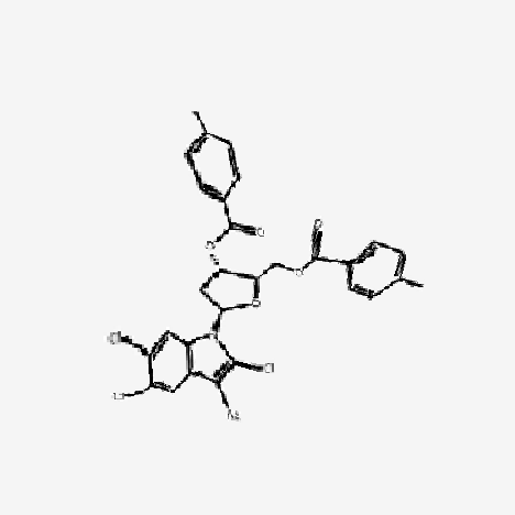 CC(=O)c1c(Cl)n([C@H]2C[C@H](OC(=O)c3ccc(C)cc3)[C@@H](COC(=O)c3ccc(C)cc3)O2)c2cc(Cl)c(Cl)cc12